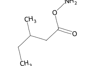 CCC(C)CC(=O)ON